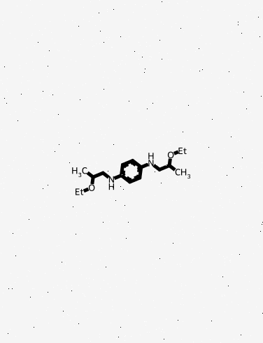 CCOC(C)CNc1ccc(NCC(C)OCC)cc1